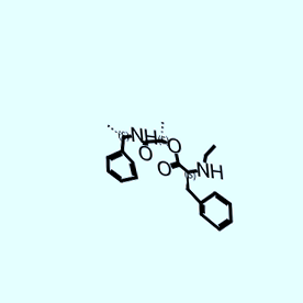 CCN[C@@H](Cc1ccccc1)C(=O)O[C@@H](C)C(=O)N[C@@H](C)c1ccccc1